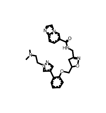 CN(C)CCn1cc(-c2ccccc2OCC2CC(CNC(=O)c3ccc4nccn4c3)=NO2)cn1